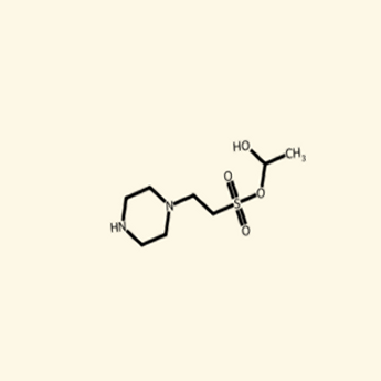 CC(O)OS(=O)(=O)CCN1CCNCC1